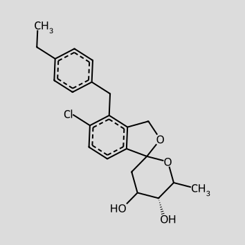 CCc1ccc(Cc2c(Cl)ccc3c2COC32CC(O)[C@@H](O)C(C)O2)cc1